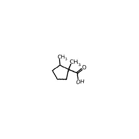 CC1CCCC1(C)C(=O)O